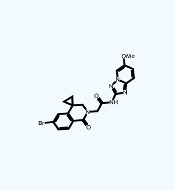 COc1ccc2nc(NC(=O)CN3CC4(CC4)c4cc(Br)ccc4C3=O)nn2c1